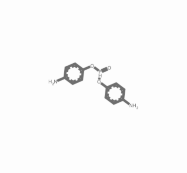 Nc1ccc(O[PH](=O)Oc2ccc(N)cc2)cc1